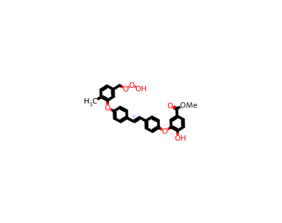 COC(=O)c1ccc(O)c(Oc2ccc(/C=C/c3ccc(Oc4cc(COOO)ccc4C)cc3)cc2)c1